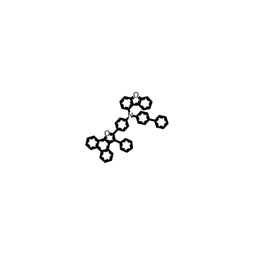 c1ccc(-c2ccc(N(c3ccc(-c4oc5c6ccccc6c6ccccc6c5c4-c4ccccc4)cc3)c3cccc4oc5ccccc5c34)cc2)cc1